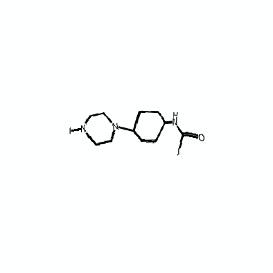 O=C(I)NC1CCC(N2CCN(I)CC2)CC1